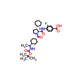 CC(NC(=O)OC(C)(C)C)[C@H]1CC[C@H](C(=O)N2CC[C@H](C3CCCCC3)[C@H]2C(=O)Nc2ccc(C(=O)O)cc2F)CC1